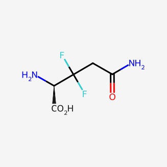 NC(=O)CC(F)(F)[C@H](N)C(=O)O